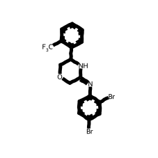 FC(F)(F)c1ccccc1C1COCC(=Nc2ccc(Br)cc2Br)N1